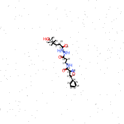 C[C@@H](CC(C)(C)[Si](C)(C)O)C(=O)NNC(=O)CCNC(=O)c1cc(-c2ccccc2)on1